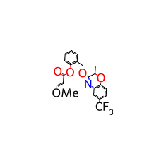 COC=CC(=O)Oc1ccccc1COC1=Nc2cc(C(F)(F)F)ccc2OC1C